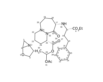 C1CN2CC2O1.CCOC(=O)[C@H](CCc1ccccc1)N[C@H]1CCCN2CCC[C@@H](C(=O)OC(C)OC(C)=O)N2C1=O